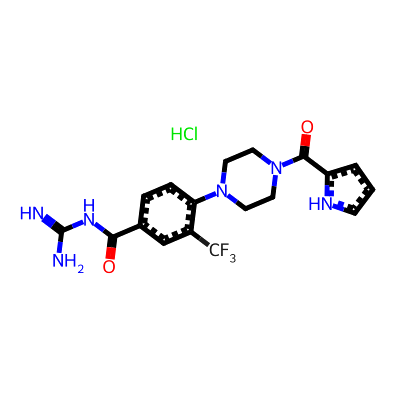 Cl.N=C(N)NC(=O)c1ccc(N2CCN(C(=O)c3ccc[nH]3)CC2)c(C(F)(F)F)c1